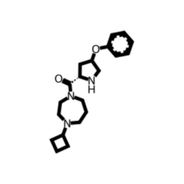 O=C([C@@H]1CC(Oc2ccccc2)CN1)N1CCCN(C2CCC2)CC1